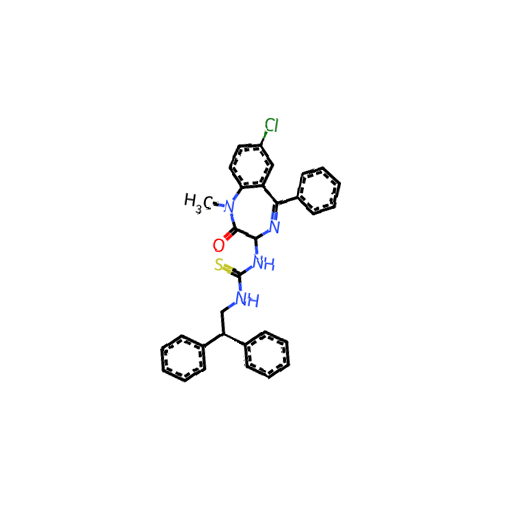 CN1C(=O)C(NC(=S)NCC(c2ccccc2)c2ccccc2)N=C(c2ccccc2)c2cc(Cl)ccc21